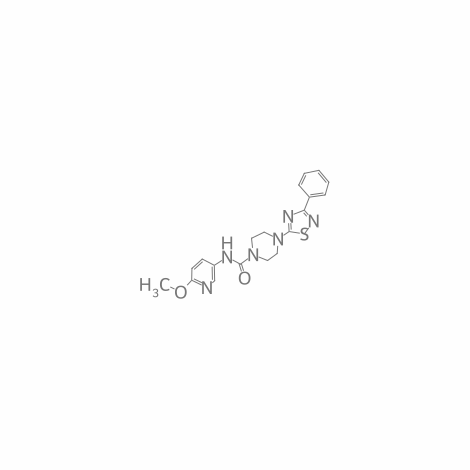 COc1ccc(NC(=O)N2CCN(c3nc(-c4ccccc4)ns3)CC2)cn1